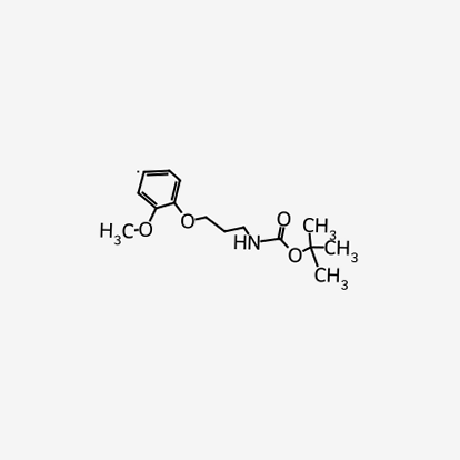 COc1c[c]ccc1OCCCNC(=O)OC(C)(C)C